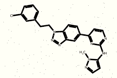 Cn1nccc1Nc1nccc(-c2ccc3c(c2)nnn3CCc2cccc(Cl)c2)n1